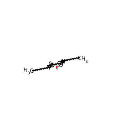 CCCCCCCCCCCCCCCC[n+]1ccc(C(=O)OCCCCCCOC(=O)c2cc[n+](CCCCCCCCCCCCCCCC)cc2)cc1.[I-].[I-]